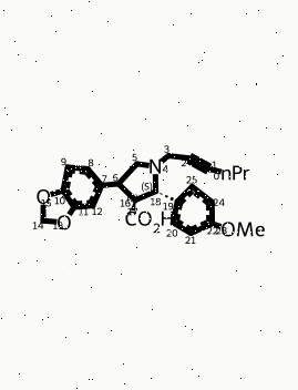 CCCC#CCN1CC(c2ccc3c(c2)OCO3)[C@H](C(=O)O)[C@H]1c1ccc(OC)cc1